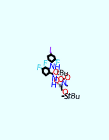 CN(C(=O)OC(C)(C)C)[C@@H](CONC(=O)c1ccc(F)c(F)c1Nc1ccc(I)cc1F)CO[Si](C)(C)C(C)(C)C